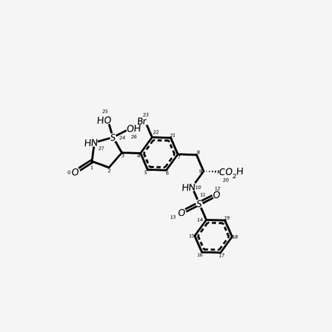 O=C1CC(c2ccc(C[C@@H](NS(=O)(=O)c3ccccc3)C(=O)O)cc2Br)S(O)(O)N1